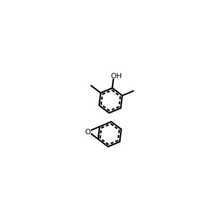 Cc1cccc(C)c1O.c1ccc2c(c1)O2